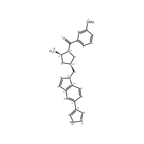 COc1cccc(C(=O)N2C[C@@H](Cn3ccc4nc(-c5cn[nH]c5)ccc43)C[C@H]2C)c1